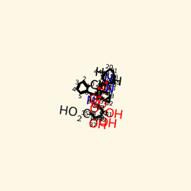 Cc1ccccc1-c1noc(C2CC2)c1CO[C@H]1C[C@H]2CC[C@@H](C1)N2c1ccc(C(=O)O[C@@H]2O[C@H](C(=O)O)[C@@H](O)[C@H](O)[C@H]2O)cn1